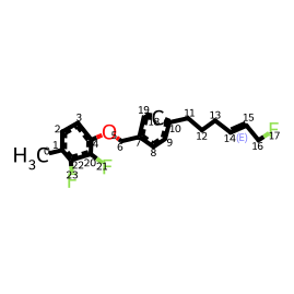 Cc1ccc(OCc2ccc(CCC/C=C/CF)cc2)c(F)c1F